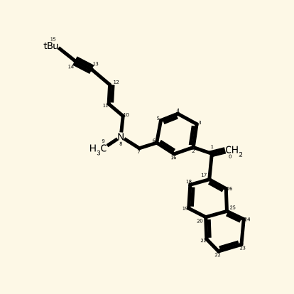 C=C(c1cccc(CN(C)C/C=C/C#CC(C)(C)C)c1)c1ccc2ccccc2c1